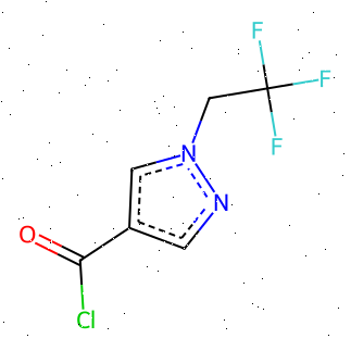 O=C(Cl)c1cnn(CC(F)(F)F)c1